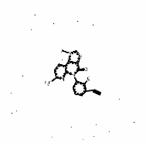 C#Cc1cccc(-n2c(=O)c3ncn(C)c3c3ccc(C(F)(F)F)nc32)c1Cl